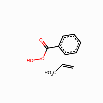 C=CC(=O)O.O=C(OO)c1ccccc1